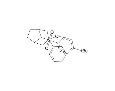 CC(C)(C)c1ccc(S(=O)(=O)C2C3CCC2CC(O)(c2ccccc2)C3)cc1